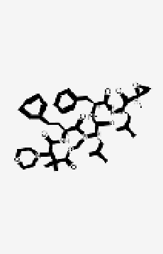 CC(C)C[C@H](NC(=O)[C@H](Cc1ccccc1)NC(=O)[C@H](CC(C)C)N(COC(=O)C(C)(C)C)C(=O)[C@H](CCc1ccccc1)NC(=O)CN1CCOCC1)C(=O)[C@]1(C)CO1